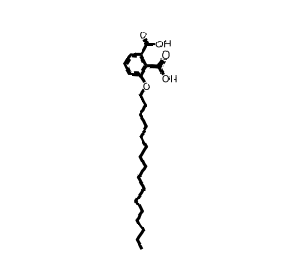 CCCCCCCCCCCCCCCCOc1cccc(C(=O)O)c1C(=O)O